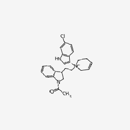 CC(=O)N1CC(CC[N+]2(c3c[nH]c4cc(Cl)ccc34)CC=CCC2)c2ccccc21